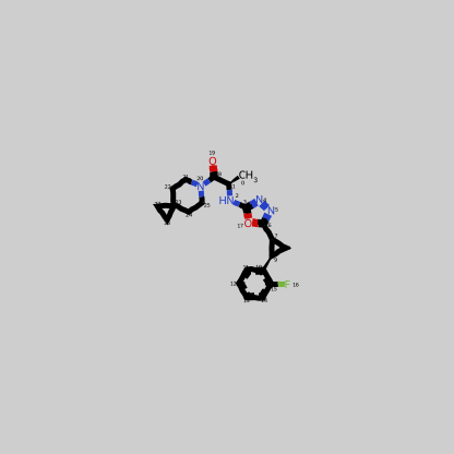 C[C@@H](Nc1nnc(C2C[C@H]2c2ccccc2F)o1)C(=O)N1CCC2(CC1)CC2